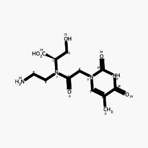 Cc1cn(CC(=O)N(CCN)[C@H](CO)C(=O)O)c(=O)[nH]c1=O